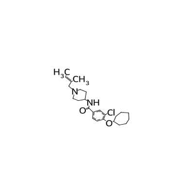 C/C=C(\C)CN1CCC(NC(=O)c2ccc(OC3CCCCCC3)c(Cl)c2)CC1